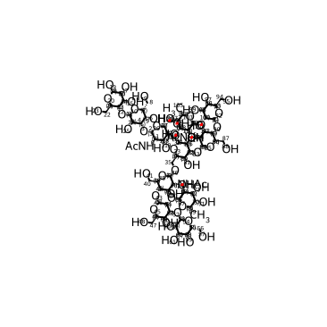 CC(=O)N[C@H]1[C@H](O[C@H]2[C@@H](O)[C@@H](CO)O[C@@H](O[C@H]3[C@H](O)[C@@H](O)[C@H](O)O[C@@H]3CO)[C@@H]2O)O[C@H](CO)[C@@H](O[C@@H]2O[C@H](CO[C@@H]3O[C@H](CO)[C@@H](O[C@@H]4O[C@H](CO)[C@H](O)[C@H](O[C@H]5O[C@H](CO)[C@H](O)[C@H](O)[C@H]5O)[C@H]4O[C@@H]4O[C@@H](C)[C@@H](O)[C@@H](O)[C@@H]4O)[C@H](O)[C@H]3NC(C)=O)[C@H](O)[C@H](O[C@@H]3O[C@H](CO)[C@@H](O[C@@H]4O[C@H](CO)[C@H](O)[C@H](O)[C@H]4O[C@@H]4O[C@@H](C)[C@@H](O)[C@@H](O)[C@@H]4O)[C@H](O)[C@H]3NC(C)=O)[C@H]2O)[C@@H]1O